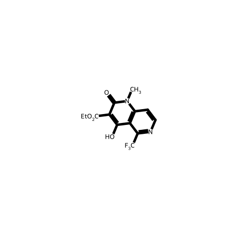 CCOC(=O)c1c(O)c2c(C(F)(F)F)nccc2n(C)c1=O